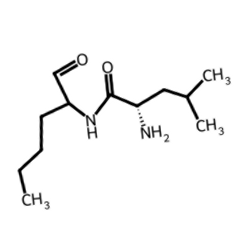 CCCCC(C=O)NC(=O)[C@@H](N)CC(C)C